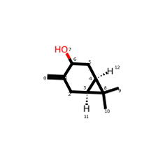 C=C1C[C@H]2[C@@H](CC1O)C2(C)C